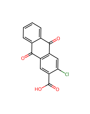 O=C(O)c1cc2c(cc1Cl)C(=O)c1ccccc1C2=O